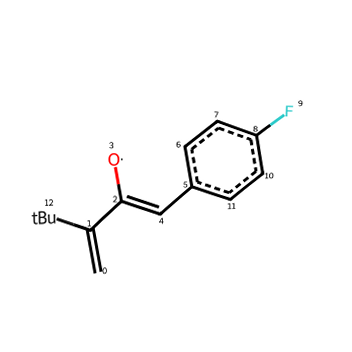 C=C(C([O])=Cc1ccc(F)cc1)C(C)(C)C